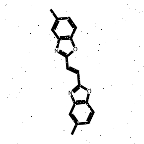 Cc1ccc2oc(/C=C/c3nc4cc(C)ccc4o3)nc2c1